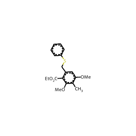 CCOC(=O)c1c(CSc2ccccc2)cc(OC)c(C)c1OC